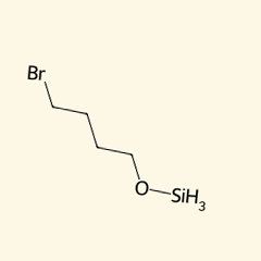 [SiH3]OCCCCBr